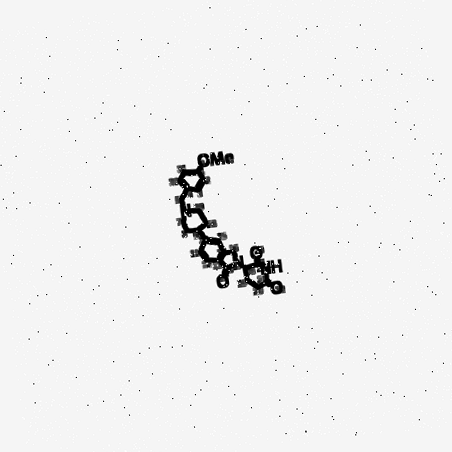 COc1ccc(CN2CCC(c3ccc4c(c3)CN(C3CCC(=O)NC3=O)C4=O)CC2)cc1